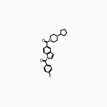 O=C(c1ccc2c(ccn2C(=O)c2ccc(F)cc2)c1)N1CCN(C2CCCC2)CC1